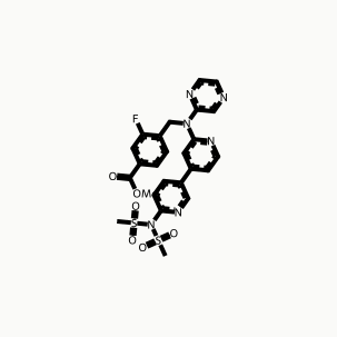 COC(=O)c1ccc(CN(c2cnccn2)c2cc(-c3ccc(N(S(C)(=O)=O)S(C)(=O)=O)nc3)ccn2)c(F)c1